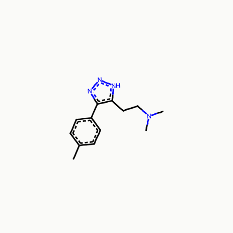 Cc1ccc(-c2nn[nH]c2CCN(C)C)cc1